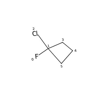 FC1(Cl)CCC1